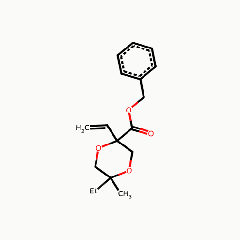 C=CC1(C(=O)OCc2ccccc2)COC(C)(CC)CO1